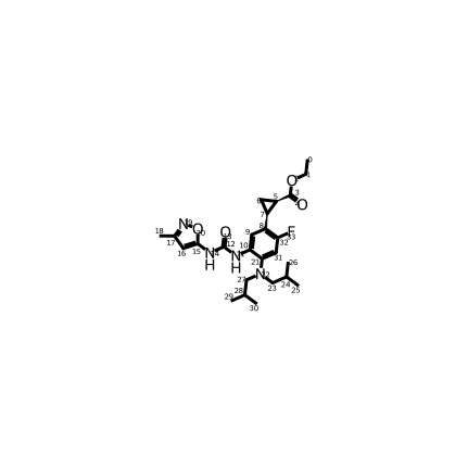 CCOC(=O)[C@@H]1C[C@@H]1c1cc(NC(=O)Nc2cc(C)no2)c(N(CC(C)C)CC(C)C)cc1F